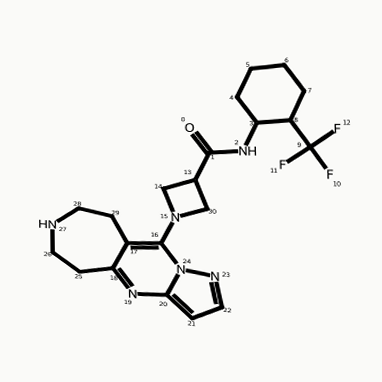 O=C(NC1CCCCC1C(F)(F)F)C1CN(c2c3c(nc4ccnn24)CCNCC3)C1